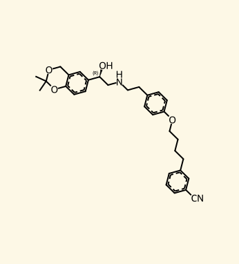 CC1(C)OCc2cc([C@@H](O)CNCCc3ccc(OCCCCc4cccc(C#N)c4)cc3)ccc2O1